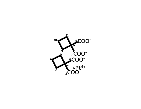 O=C([O-])C1(C(=O)[O-])CCC1.O=C([O-])C1(C(=O)[O-])CCC1.[Pt+4]